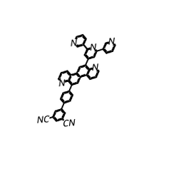 N#Cc1cc(C#N)cc(-c2ccc(-c3cc4c5cccnc5c(-c5cc(-c6cccnc6)nc(-c6cccnc6)c5)cc4c4cccnc34)cc2)c1